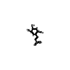 O=[N+]([O-])C=Cc1cc(F)c(F)cc1F